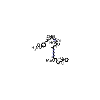 CO[C@@H](CC1CC[C@@H](C)C(C(=O)C(=O)N2CCCCC2)O1)/C(C)=C/C=C/C=C/[C@@H](C)C[C@@H](C)C(=O)[C@H](O)[C@H](O)/C(C)=C/[C@@H](C)CC[C@@H](CC[C@@H]1CCC[C@@H](OC(N)=O)CC1)OC=O